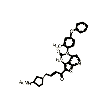 CC(=O)N[C@@H]1CC[C@H](C/C=C/C(=O)c2sc3nccc4c3c2NC(=O)N4c2ccc(Oc3ccccc3)cc2C)C1